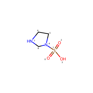 O=S(=O)(O)N1CCNC1